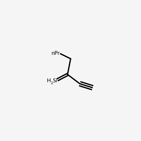 C#CC(=[SiH2])CCCC